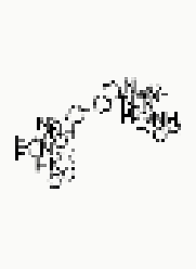 COC(=O)N[C@H](C(=O)N1CCC(F)(F)C[C@H]1c1ncc(-c2ccc(-c3ccc4c(ccc5nc([C@@H]6C[Si](C)(C)CN6C(=O)[C@@H](NC(=O)OC)C(C)C)[nH]c54)c3)cc2)[nH]1)C(C)C